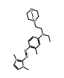 CCN(CC[N+]12CCN(CC1)CC2)c1ccc(/N=N/c2n(C)cc[n+]2C)c(C)c1